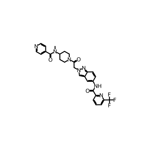 CN(C(=O)c1ccncc1)C1CCN(C(=O)Cn2cc3cc(NC(=O)c4cccc(C(F)(F)F)n4)ccc3n2)CC1